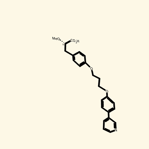 CO[C@@H](Cc1ccc(OCCCOc2ccc(-c3cccnc3)cc2)cc1)C(=O)O